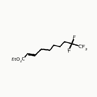 CCOC(=O)C=CCCCCCC(F)(F)C(F)(F)F